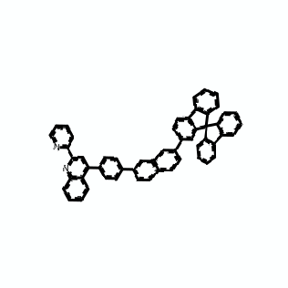 c1ccc(-c2cc(-c3ccc(-c4ccc5ccc(-c6ccc7c(c6)C6(c8ccccc8-c8ccccc86)c6ccccc6-7)cc5c4)cc3)c3ccccc3n2)nc1